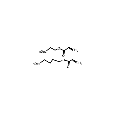 C=CC(=O)OCCCCCCCCCCCC.C=CC(=O)OCCCCCCCCCCCCCC